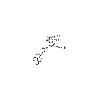 O=C(CCCc1ccc2ccc3cccc4ccc1c2c34)OC[C@H](COC(C(O)CO)P(=O)(O)O)OC(=O)CCCCCBr